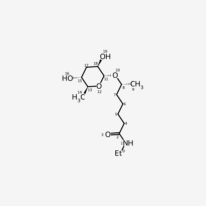 CCNC(=O)CCCC[C@@H](C)O[C@@H]1O[C@@H](C)[C@H](O)C[C@H]1O